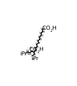 CC(C)CCC(CCCCCCCCCCCCC(=O)O)C(CCC(C)C)C(=O)O